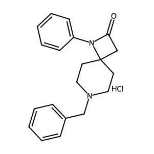 Cl.O=C1CC2(CCN(Cc3ccccc3)CC2)N1c1ccccc1